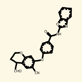 N#Cc1cc2c(cc1Oc1ccc(C(=O)Nc3nc4ccccc4o3)cc1)OCCC2C=O